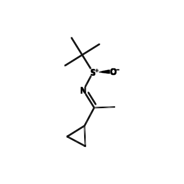 CC(=N[S@+]([O-])C(C)(C)C)C1CC1